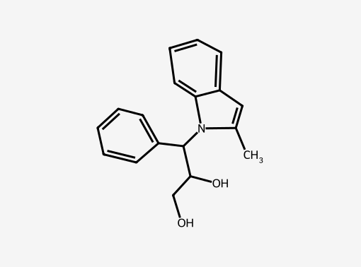 Cc1cc2ccccc2n1C(c1ccccc1)C(O)CO